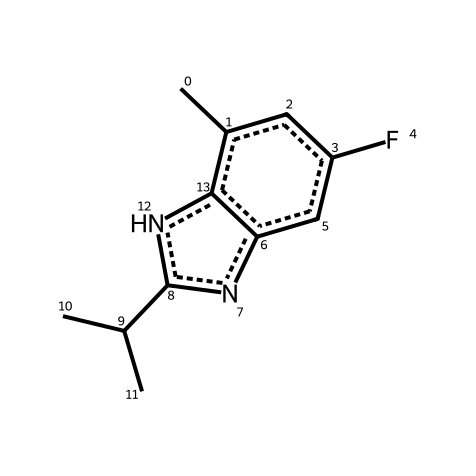 Cc1cc(F)cc2nc(C(C)C)[nH]c12